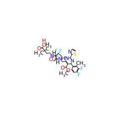 COC(=O)C1=C(CN2CC(F)(F)[C@H]3[C@@H]2CON3CCC(C)(C)C(=O)O)NC(c2nccs2)=NC1c1ccc(F)c(F)c1C